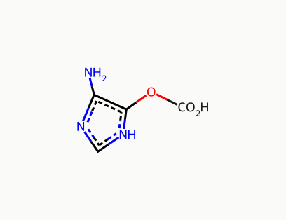 Nc1nc[nH]c1OC(=O)O